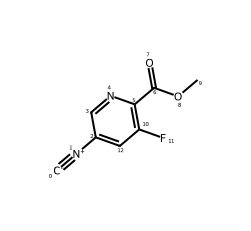 [C-]#[N+]c1cnc(C(=O)OC)c(F)c1